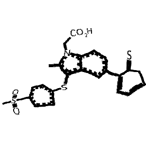 Cc1c(Sc2ccc(S(C)(=O)=O)cc2)c2cc(C3=CC=CCC3=S)ccc2n1CC(=O)O